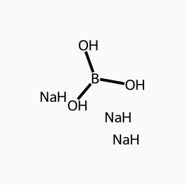 OB(O)O.[NaH].[NaH].[NaH]